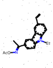 C=Cc1ccc2c(c1)c1cc(/C(C)=N/OC(C)=O)ccc1n2CC